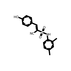 Cc1ccc(NS(=O)(=O)/C(C#N)=C/c2ccc(O)cc2)c(C)c1